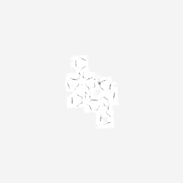 c1ccc(-n2c3ccccc3c3c(-n4c5ccccc5c5cc6c7ccccc7n7c8ccc9ccccc9c8c(c54)c67)cncc32)cc1